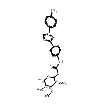 CCCO[C@@H]1[C@@H](OC)[C@H](C)O[C@@H](OC(=O)Nc2ccc(-c3ncn(-c4ccc(C(F)(F)F)cc4)n3)cc2)[C@@H]1OC